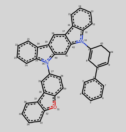 C1=C(c2ccccc2)C=C(n2c3ccccc3c3cc4c5ccccc5n(-c5ccc6oc7ccccc7c6c5)c4cc32)CC1